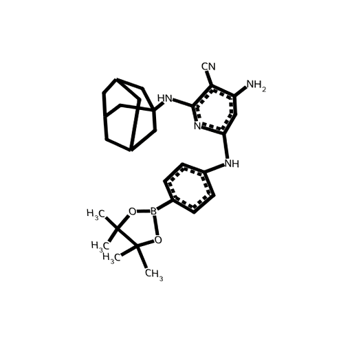 CC1(C)OB(c2ccc(Nc3cc(N)c(C#N)c(NC45CC6CC(CC(C6)C4)C5)n3)cc2)OC1(C)C